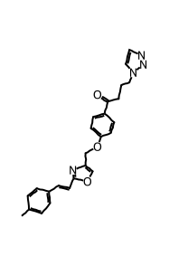 Cc1ccc(/C=C/c2nc(COc3ccc(C(=O)CCCn4ccnn4)cc3)co2)cc1